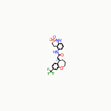 O=C(/C=C1\CCCOc2cc(C(F)(F)F)ccc21)Nc1cccc2c1CCS(=O)(=O)N2